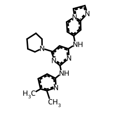 Cc1ccc(Nc2nc(Nc3ccn4ccnc4c3)cc(N3CCCCC3)n2)nc1C